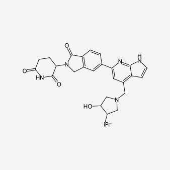 CC(C)C1CN(Cc2cc(-c3ccc4c(c3)CN(C3CCC(=O)NC3=O)C4=O)nc3[nH]ccc23)CC1O